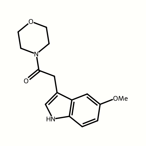 COc1ccc2[nH]cc(CC(=O)N3CCOCC3)c2c1